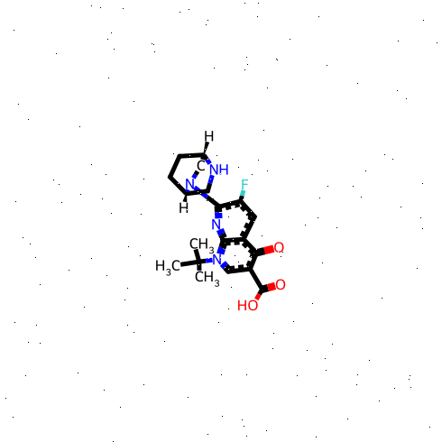 CC(C)(C)n1cc(C(=O)O)c(=O)c2cc(F)c(N3C[C@@H]4CC[C@H]3CN4)nc21